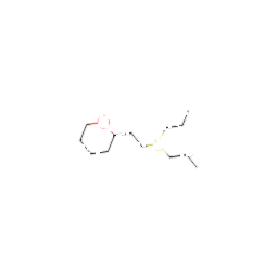 C[CH]C[S+](CCC)CCC1CCCCO1